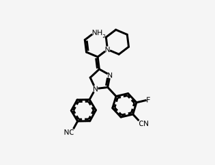 N#Cc1ccc(N2C/C(=C(\C=C/N)N3CCCCC3)N=C2c2ccc(C#N)c(F)c2)cc1